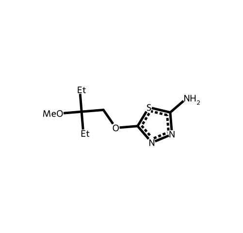 CCC(CC)(COc1nnc(N)s1)OC